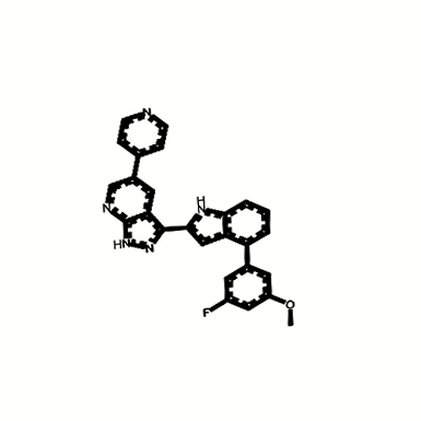 COc1cc(F)cc(-c2cccc3[nH]c(-c4n[nH]c5ncc(-c6ccncc6)cc45)cc23)c1